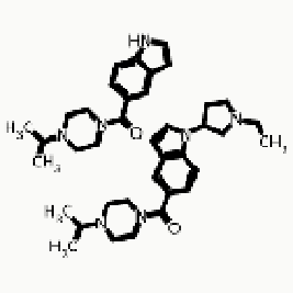 CC(C)N1CCN(C(=O)c2ccc3[nH]ccc3c2)CC1.CCN1CCC(n2ccc3cc(C(=O)N4CCN(C(C)C)CC4)ccc32)C1